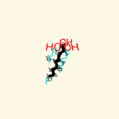 OC(O)(O)C(F)C(F)C(F)C(F)C(F)CCCF